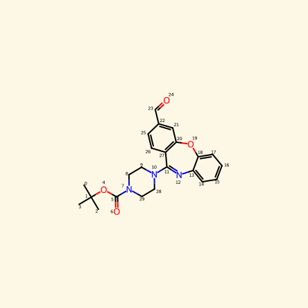 CC(C)(C)OC(=O)N1CCN(C2=Nc3ccccc3Oc3cc(C=O)ccc32)CC1